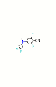 CN(c1cc(F)c(C#N)c(F)c1)C1CC(F)(F)C1